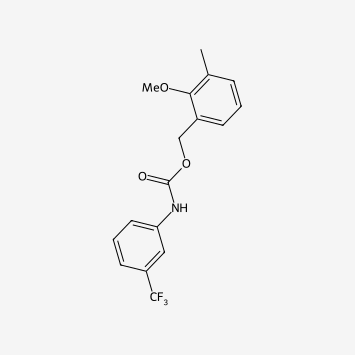 COc1c(C)cccc1COC(=O)Nc1cccc(C(F)(F)F)c1